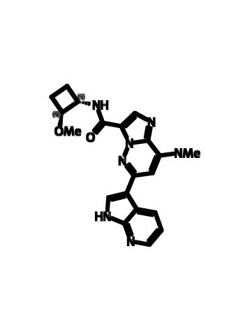 CNc1cc(-c2c[nH]c3ncccc23)nn2c(C(=O)N[C@H]3CC[C@@H]3OC)cnc12